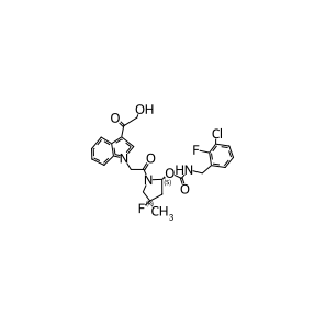 C[C@@]1(F)C[C@H](OC(=O)NCc2cccc(Cl)c2F)N(C(=O)Cn2cc(C(=O)CO)c3ccccc32)C1